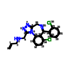 C=CCNCc1nnc2n1-c1cccc(Cl)c1C(c1ccccc1Cl)=NC2